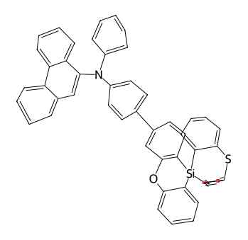 c1ccc(N(c2ccc(-c3ccc4c(c3)Oc3ccccc3[Si]43c4ccccc4Sc4ccccc43)cc2)c2cc3ccccc3c3ccccc23)cc1